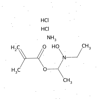 C=C(C)C(=O)OC(C)N(O)CC.Cl.Cl.N